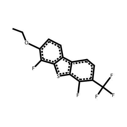 CCOc1ccc2c(sc3c(F)c(C(F)(F)F)ccc32)c1F